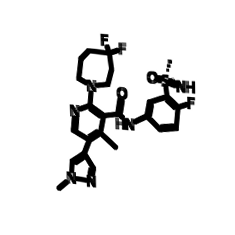 Cc1c(-c2cnn(C)c2)cnc(N2CCCC(F)(F)CC2)c1C(=O)Nc1ccc(F)c([S@](C)(=N)=O)c1